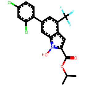 CC(C)OC(=O)c1cc2c(C(F)(F)F)cc(-c3ccc(Cl)cc3Cl)cc2n1O